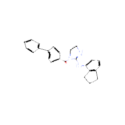 O=C(c1ccc(-c2ccccc2)cc1)N1CCN=C1Nc1cccc2c1CCC2